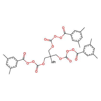 CCCC(COC(=O)OOC(=O)c1cc(C)cc(C)c1)(COC(=O)OOC(=O)c1cc(C)cc(C)c1)COC(=O)OOC(=O)c1cc(C)cc(C)c1